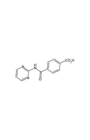 O=C(O)c1ccc(C(=O)Nc2ncccn2)cc1